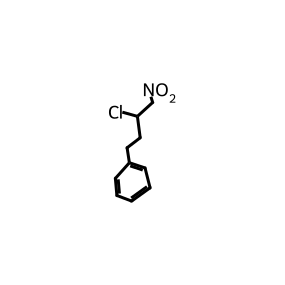 O=[N+]([O-])CC(Cl)CCc1ccccc1